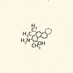 Cc1c(N)c(C)c2c(C)cc3c4c(ccc3c2c1O)CCCC4